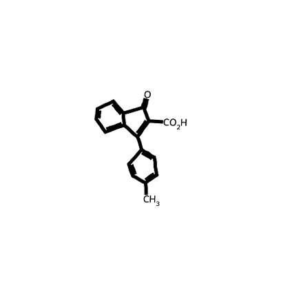 Cc1ccc(C2=C(C(=O)O)C(=O)c3ccccc32)cc1